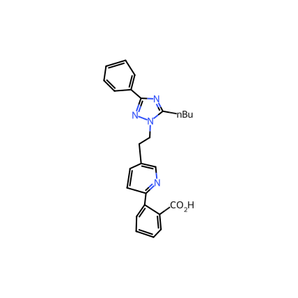 CCCCc1nc(-c2ccccc2)nn1CCc1ccc(-c2ccccc2C(=O)O)nc1